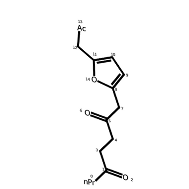 CCCC(=O)CCC(=O)Cc1ccc(CC(C)=O)o1